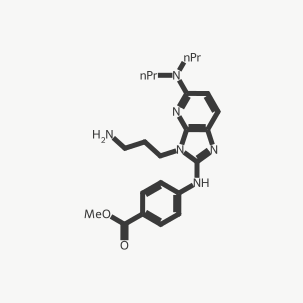 CCCN(CCC)c1ccc2nc(Nc3ccc(C(=O)OC)cc3)n(CCCN)c2n1